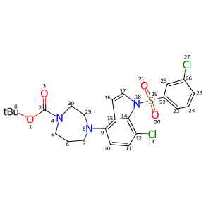 CC(C)(C)OC(=O)N1CCCN(c2ccc(Cl)c3c2ccn3S(=O)(=O)c2cccc(Cl)c2)CC1